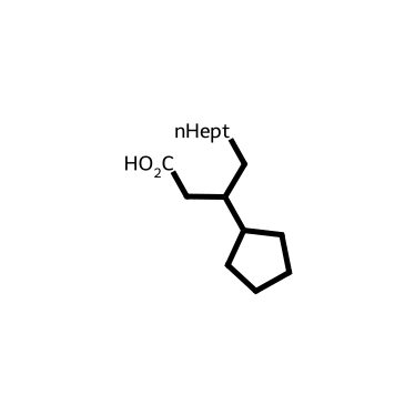 CCCCCCCCC(CC(=O)O)C1CCCC1